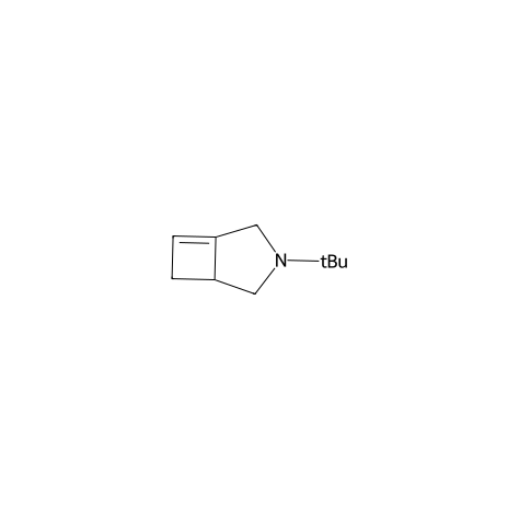 CC(C)(C)N1CC2=CCC2C1